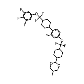 CC1COC(C2CCC(C(F)(F)Oc3ccc(C4CCC(C(F)(F)Oc5cc(F)c(F)c(F)c5)CC4)c(F)c3)CC2)OC1